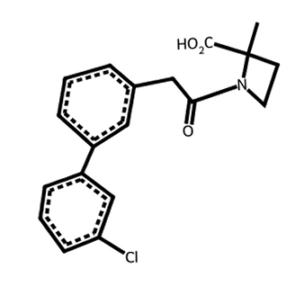 CC1(C(=O)O)CCN1C(=O)Cc1cccc(-c2cccc(Cl)c2)c1